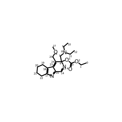 CCOC(=O)OC1(CN(CC)CC)N=CC2=NC3=C(CCCC3)C2=C1COC